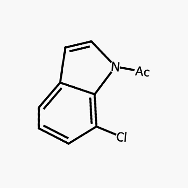 CC(=O)n1ccc2cccc(Cl)c21